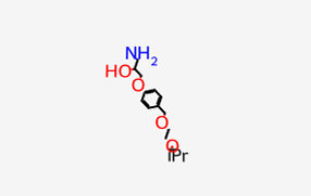 CC(C)OCCOCc1ccc(OCC(O)CN)cc1